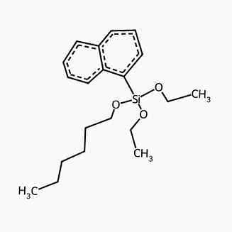 CCCCCCO[Si](OCC)(OCC)c1cccc2ccccc12